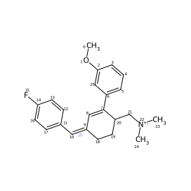 COc1cccc(C2=C/C(=C\c3ccc(F)cc3)CCC2C[N+](C)C)c1